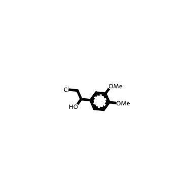 COc1ccc(C(O)CCl)cc1OC